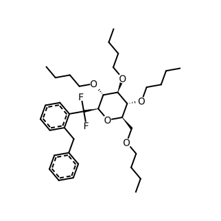 CCCCOC[C@H]1O[C@@H](C(F)(F)c2ccccc2Cc2ccccc2)[C@H](OCCCC)[C@@H](OCCCC)[C@@H]1OCCCC